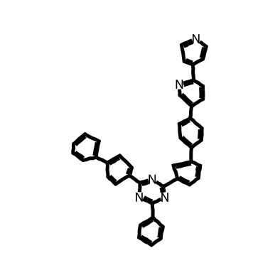 c1ccc(-c2ccc(-c3nc(-c4ccccc4)nc(-c4cccc(-c5ccc(-c6ccc(-c7ccncc7)nc6)cc5)c4)n3)cc2)cc1